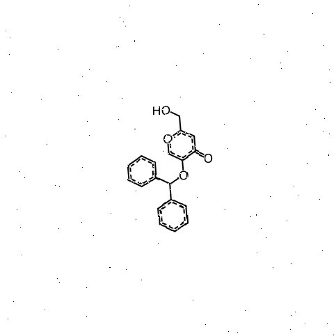 O=c1cc(CO)occ1OC(c1ccccc1)c1ccccc1